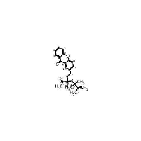 C=C(C)C(C)(C)CC(C)(CCc1ccc2oc3ccccc3c(=O)c2c1)C(C)=O